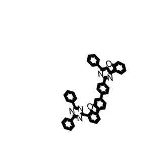 c1ccc(-c2nc(-c3ccccc3)nc(-c3cccc4c3oc3cc(-c5ccc(-c6nc(-c7ccccc7)c7oc8ccccc8c7n6)cc5)ccc34)n2)cc1